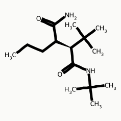 CCCC(C(N)=O)[C@H](C(=O)NC(C)(C)C)C(C)(C)C